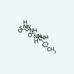 Cc1ccc(-c2cc(NCC(=O)Nc3cc(-c4cccs4)[nH]n3)n[nH]2)cc1